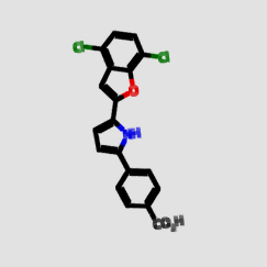 O=C(O)c1ccc(-c2ccc(-c3cc4c(Cl)ccc(Cl)c4o3)[nH]2)cc1